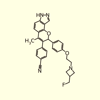 CC1=C(c2ccc(C#N)cc2)C(c2ccc(OCCN3CC(CF)C3)cc2)Oc2c1ccc1[nH]ncc21